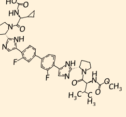 COC(=O)N[C@H](C(=O)N1CCC[C@H]1c1ncc(-c2ccc(-c3ccc(-c4cnc([C@@H]5CCCN5C(=O)[C@@H](NC(=O)O)C5CC5)[nH]4)c(F)c3)cc2F)[nH]1)C(C)C